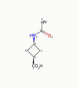 CCCC(=O)N[C@H]1C[C@@H](C(=O)O)C1